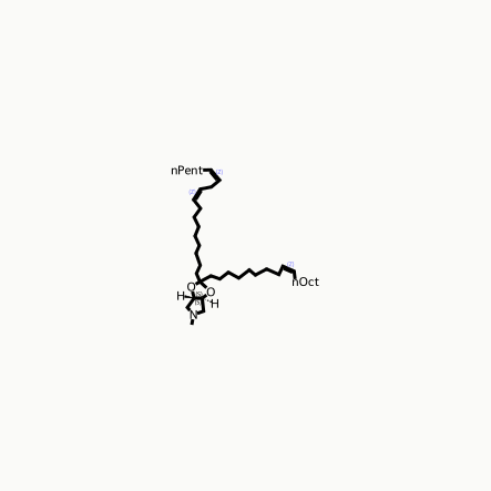 CCCCC/C=C\C/C=C\CCCCCCCCC1(CCCCCCCC/C=C\CCCCCCCC)O[C@H]2CN(C)C[C@@H]2O1